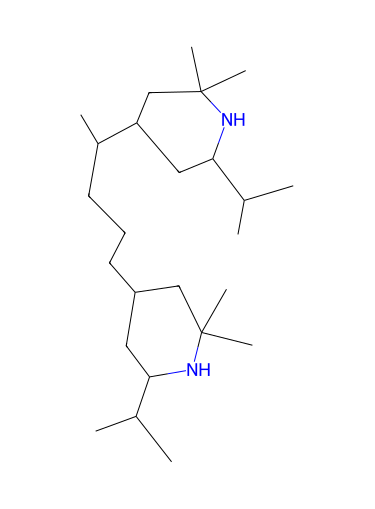 CC(C)C1CC(CCCC(C)C2CC(C(C)C)NC(C)(C)C2)CC(C)(C)N1